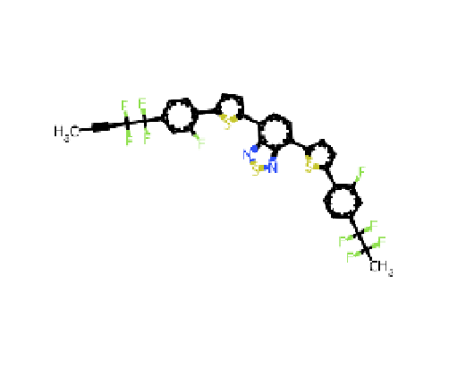 CC#CC(F)(F)C(F)(F)c1ccc(-c2ccc(-c3ccc(-c4ccc(-c5ccc(C(F)(F)C(C)(F)F)cc5F)s4)c4nsnc34)s2)c(F)c1